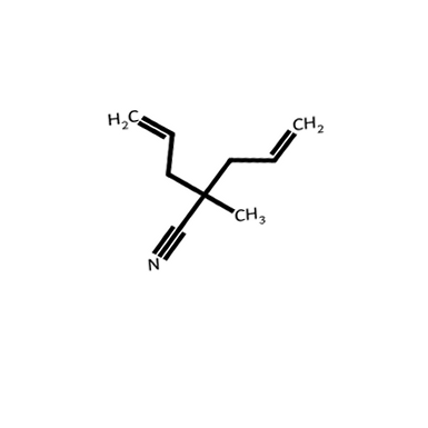 C=CCC(C)(C#N)CC=C